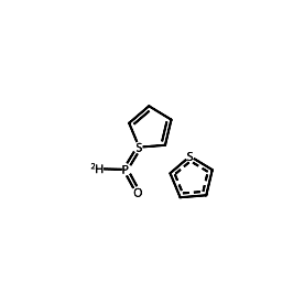 [2H]P(=O)=S1C=CC=C1.c1ccsc1